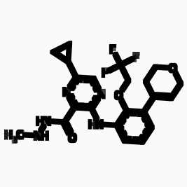 CNNC(=O)c1nc(C2CC2)cnc1Nc1cccc(C2=CCOCC2)c1OCC(F)(F)F